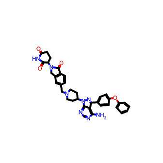 Nc1ncnc2c1c(-c1ccc(Oc3ccccc3)cc1)nn2C1CCN(Cc2ccc3c(c2)CN(C2CCC(=O)NC2=O)C3=O)CC1